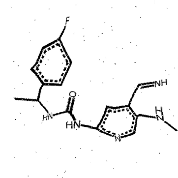 CNc1cnc(NC(=O)NC(C)c2ccc(F)cc2)cc1C=N